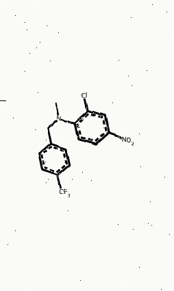 CN(Cc1ccc(C(F)(F)F)cc1)c1ccc([N+](=O)[O-])cc1Cl